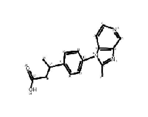 Cc1nc2cnccc2n1-c1ccc(C(C)CC(=O)O)cc1